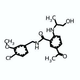 COc1cc(CNC(=O)c2cc(C(C)=O)ccc2NC(C)CO)ccc1Cl